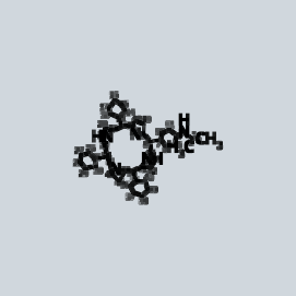 CC(C)Nc1ccc(-c2c3nc(c(-c4ccccc4)c4ccc([nH]4)c(-c4ccccc4)c4nc(c(-c5ccccc5)c5ccc2[nH]5)CC4)C=C3)cc1